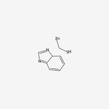 C1=CC2=NC=NC2C=C1.S[CH2][Zn]